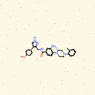 COc1ccc(-c2c[nH]nc2CNC(=O)c2ccc(N3CCN(c4ccccc4C)CC3)c(N)c2)cc1